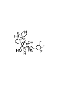 CN1CCC(O)([C@H](S[C@@H]2O[C@H](CO)[C@H](O)[C@H](n3cc(-c4cc(F)c(F)c(F)c4)nn3)[C@H]2O)c2ccccc2C(F)(F)F)CC1